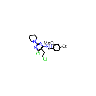 CCc1ccc(CNc2nc(N3CCCCC3)nc(Cl)c2CCCl)c(OC)c1